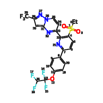 CCS(=O)(=O)c1ccc(-c2ccc(OC(F)(F)C(F)F)cc2)nc1-c1ccn2nc(C(F)(F)F)cc2n1